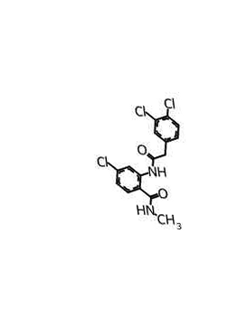 CNC(=O)c1ccc(Cl)cc1NC(=O)Cc1ccc(Cl)c(Cl)c1